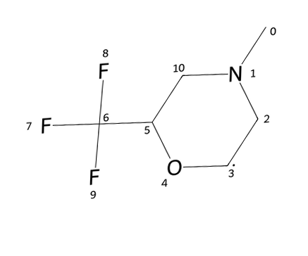 CN1C[CH]OC(C(F)(F)F)C1